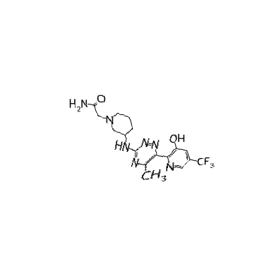 Cc1nc(NC2CCCN(CC(N)=O)C2)nnc1-c1ncc(C(F)(F)F)cc1O